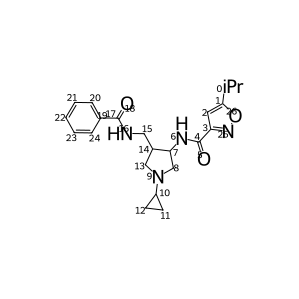 CC(C)c1cc(C(=O)NC2CN(C3CC3)CC2CNC(=O)c2ccccc2)no1